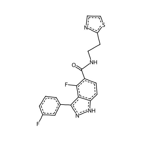 O=C(NCCc1nccs1)c1ccc2[nH]nc(-c3cccc(F)c3)c2c1F